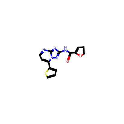 O=C(Nc1nc2nccc(-c3cccs3)n2n1)C1=CCCO1